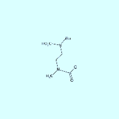 CCC(C)N(CCN(C)C(=O)Cl)C(=O)O